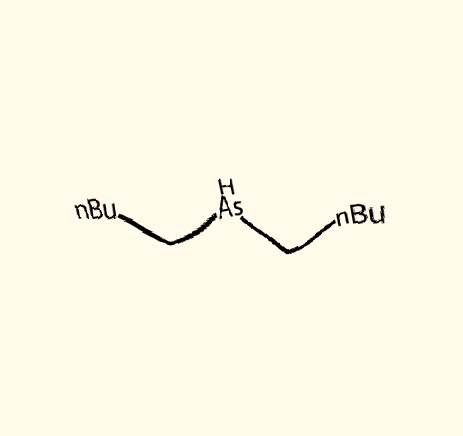 CCCCC[AsH]CCCCC